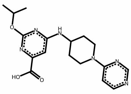 CC(C)Oc1nc(NC2CCN(c3ccncn3)CC2)cc(C(=O)O)n1